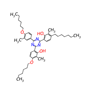 CCCCCCCc1ccc(-c2nc(-c3ccc(OCCCCCC)c(C)c3)nc(-c3ccc(OCCCCCC)c(C)c3O)n2)c(O)c1C